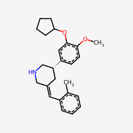 COc1ccc([C@H]2CNC/C(=C/c3ccccc3C)C2)cc1OC1CCCC1